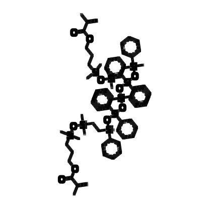 C=C(C)C(=O)OCCC[Si](C)(C)O[Si](C)(C)CC[Si](C)(O[Si](O[Si](O[Si](O[Si](C)(CC[Si](C)(C)O[Si](C)(C)CCCOC(=O)C(=C)C)c1ccccc1)(c1ccccc1)c1ccccc1)(c1ccccc1)c1ccccc1)(c1ccccc1)c1ccccc1)c1ccccc1